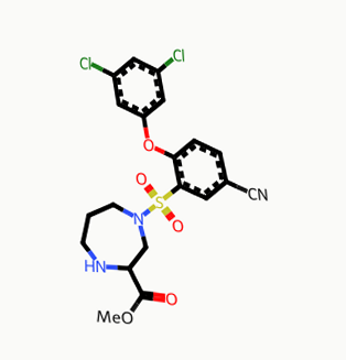 COC(=O)C1CN(S(=O)(=O)c2cc(C#N)ccc2Oc2cc(Cl)cc(Cl)c2)CCCN1